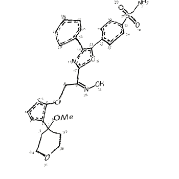 COC1(c2ccsc2OC/C(=N/O)c2nc(-c3ccccc3)c(-c3ccc(S(N)(=O)=O)cc3)o2)CCOCC1